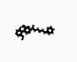 CCc1cccc(C)c1-n1cnc(NCCOCCc2ccccc2)nc1=O